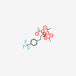 CC(=O)O[Si](CCc1ccc(C(F)(F)F)cc1)(OC(C)=O)OC(C)=O